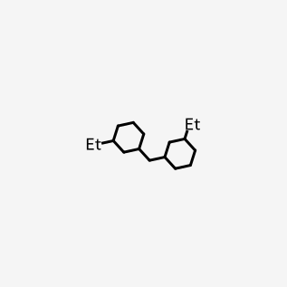 CCC1CCCC(CC2CCCC(CC)C2)C1